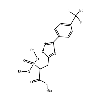 CCOP(=O)(OCC)C(Cc1nc(-c2ccc(C(F)(F)CC)cc2)no1)C(=O)OC(C)(C)C